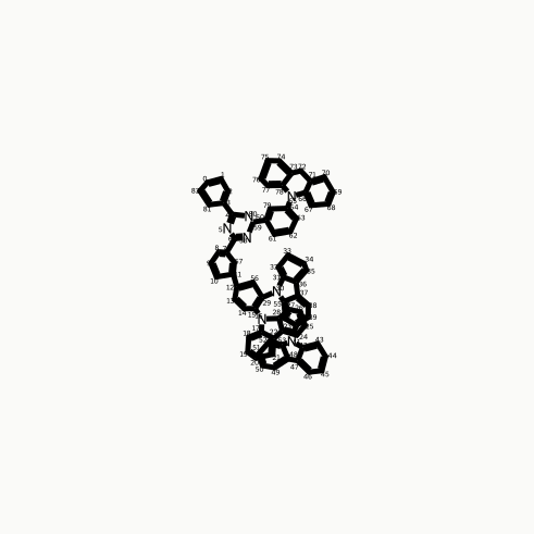 c1ccc(-c2nc(-c3cccc(-c4ccc(-n5c6ccccc6c6ccccc65)c(-n5c6ccccc6c6ccc(-n7c8ccccc8c8ccccc87)cc65)c4)c3)nc(-c3cccc(N4c5ccccc5Cc5ccccc54)c3)n2)cc1